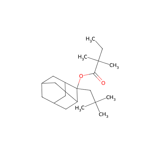 CCC(C)(C)C(=O)OC1(CC(C)(C)C)C2CC3CC(C2)CC1C3